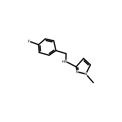 Cn1ccc(NCc2ccc(F)cc2)n1